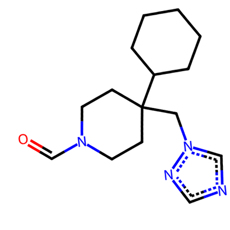 O=CN1CCC(Cn2cncn2)(C2CCCCC2)CC1